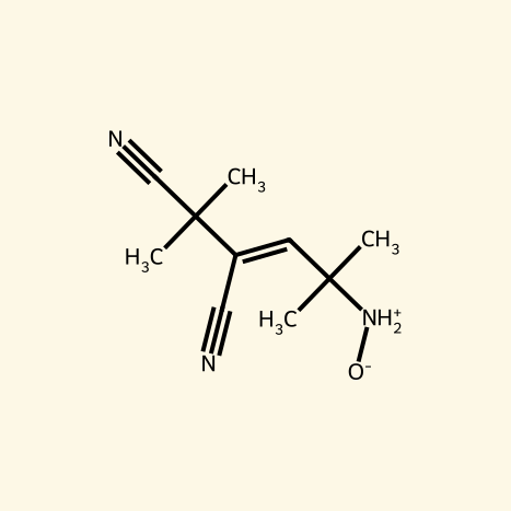 CC(C)(C=C(C#N)C(C)(C)C#N)[NH2+][O-]